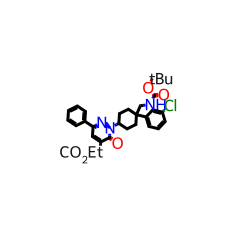 CCOC(=O)c1cc(-c2ccccc2)nn(C2CCC(CNC(=O)OC(C)(C)C)(c3cccc(Cl)c3)CC2)c1=O